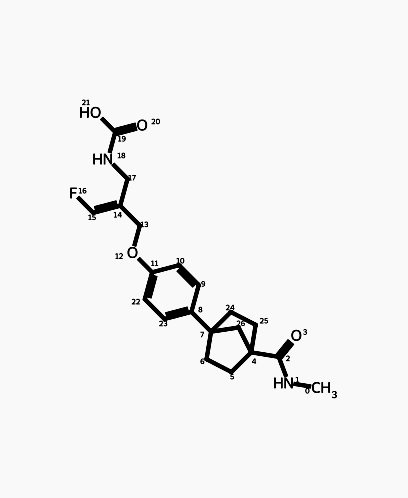 CNC(=O)C12CCC(c3ccc(OCC(=CF)CNC(=O)O)cc3)(CC1)C2